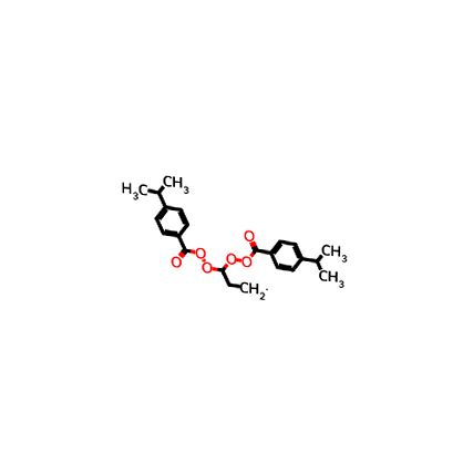 [CH2]C[C](OOC(=O)c1ccc(C(C)C)cc1)OOC(=O)c1ccc(C(C)C)cc1